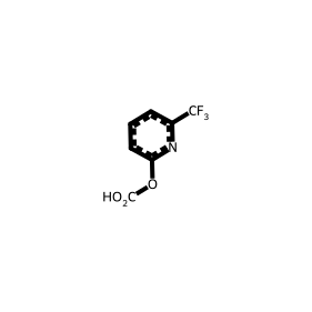 O=C(O)Oc1cccc(C(F)(F)F)n1